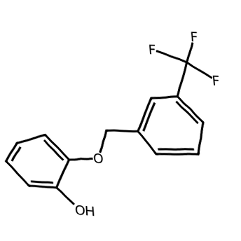 Oc1ccccc1OCc1cccc(C(F)(F)F)c1